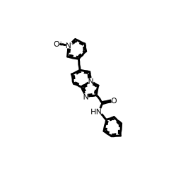 O=C(Nc1ccccc1)c1cn2cc(-c3ccc[n+]([O-])c3)ccc2n1